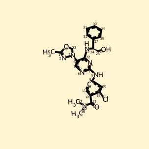 CC1=NN(c2cnc(Nc3ccc(C(=O)N(C)C)c(Cl)c3)nc2N[C@H](CO)c2ccccc2)CO1